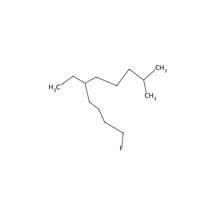 CCC(CCCCF)CCCC(C)C